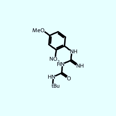 COc1ccc(NC(=N)NC(=O)NC(C)(C)C)c([N+](=O)[O-])c1